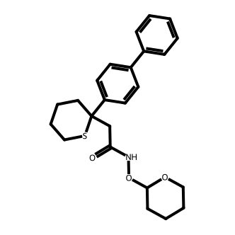 O=C(CC1(c2ccc(-c3ccccc3)cc2)CCCCS1)NOC1CCCCO1